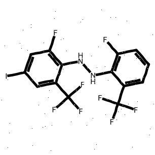 Fc1cccc(C(F)(F)F)c1NNc1c(F)cc(I)cc1C(F)(F)F